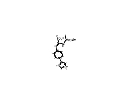 CSC(C)N/C(=N\c1ccc(-c2c[nH]cn2)cc1)S(=O)(=O)O